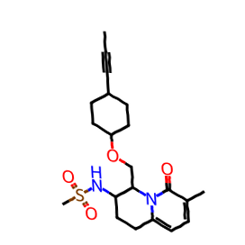 CC#CC1CCC(OCC2C(NS(C)(=O)=O)CCc3ccc(C)c(=O)n32)CC1